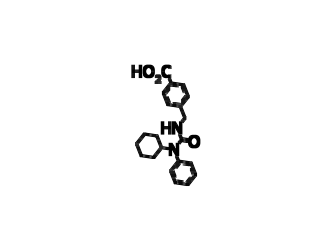 O=C(O)c1ccc(CNC(=O)N(c2ccccc2)C2CCCCC2)cc1